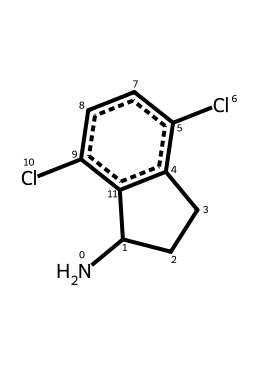 NC1CCc2c(Cl)ccc(Cl)c21